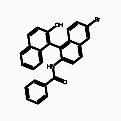 O=C(Nc1ccc2cc(Br)ccc2c1-c1c(O)ccc2ccccc12)c1ccccc1